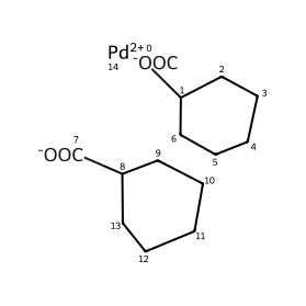 O=C([O-])C1CCCCC1.O=C([O-])C1CCCCC1.[Pd+2]